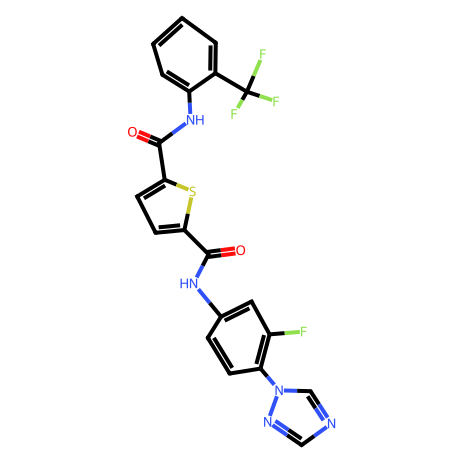 O=C(Nc1ccc(-n2cncn2)c(F)c1)c1ccc(C(=O)Nc2ccccc2C(F)(F)F)s1